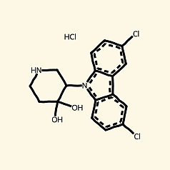 Cl.OC1(O)CCNCC1n1c2ccc(Cl)cc2c2cc(Cl)ccc21